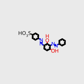 O=S(=O)(O)c1ccc(/N=N/c2ccc(O)c(/N=N/c3ccccc3)c2O)cc1